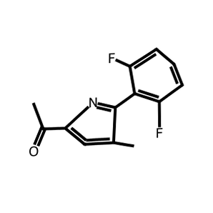 CC(=O)C1=C=C(C)C(c2c(F)cccc2F)=N1